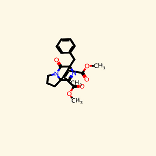 COC(=O)C1=C(C(=O)OC)C23CCCN2C(=O)C1(Cc1ccccc1)N=C3C